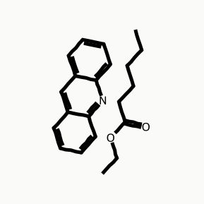 CCCCCC(=O)OCC.c1ccc2nc3ccccc3cc2c1